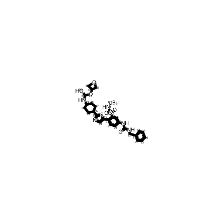 CC(C)(C)NS(=O)(=O)c1cc(NC(=O)NCc2ccccc2)ccc1-c1cnc(C2CCC(NC(O)OC3COC3)CC2)s1